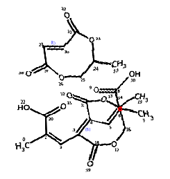 CC(=C/C1=C(/C=C(C)C(=O)O)C(=O)OC(C)COC1=O)C(=O)O.CC1COC(=O)/C=C/C(=O)O1